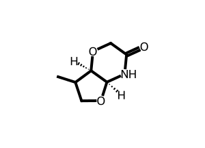 CC1CO[C@@H]2NC(=O)CO[C@H]12